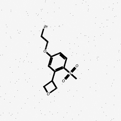 CC(C)CCOc1ccc(S(C)(=O)=O)c(C2COC2)c1